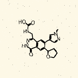 Cn1cc(-c2cc3c(CNC(=O)O)n[nH]c(=O)c3cc2C2CCCO2)cn1